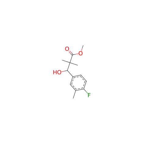 COC(=O)C(C)(C)C(O)c1ccc(F)c(C)c1